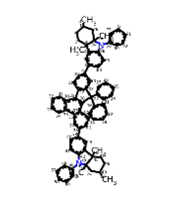 CC1CCC2(C)c3cc(-c4ccc5c(c4)C(c4ccccc4)(c4ccccc4)c4c-5c5ccccc5c5cc(-c6ccc7c(c6)C6(C)CCC(C)CC6(C)N7c6ccccc6)ccc45)ccc3N(c3ccccc3)C2(C)C1